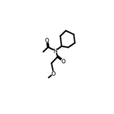 COCC(=O)N(C(C)=O)C1CCCCC1